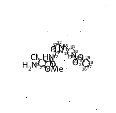 COc1cc(N)c(Cl)cc1C(=O)NCC1CN(CC2CCN(C(=O)Oc3ccccc3)CC2)CCO1